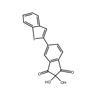 O=C1c2ccc(-c3cc4ccccc4s3)cc2C(=O)C1(O)O